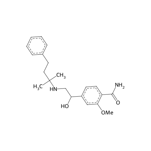 COc1cc(C(O)CNC(C)(C)CCc2ccccc2)ccc1C(N)=O